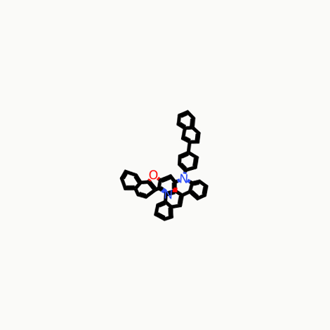 c1ccc(N(c2ccc(-c3ccc4ccccc4c3)cc2)c2cnc3c(c2)oc2c4ccccc4ccc32)c(-c2ccc3ccccc3c2)c1